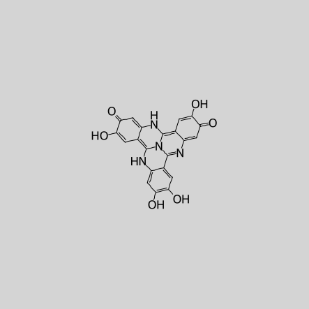 O=c1cc2nc3c4cc(O)c(O)cc4[nH]c4c5cc(O)c(=O)cc5[nH]c(c2cc1O)n34